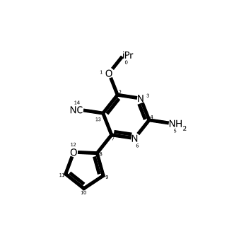 CC(C)Oc1nc(N)nc(-c2ccco2)c1C#N